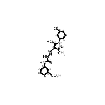 Cc1nn(-c2cccc(Cl)c2)c(O)c1/C=N/NC(=S)Nc1cccc(C(=O)O)c1